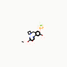 CCOC(=O)c1cn2c(cc1=O)-c1cc(C=O)c(OS(=O)(=O)C(F)(F)F)cc1CC21CCC1